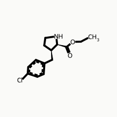 CCOC(=O)[C@@H]1NCC[C@@H]1Cc1ccc(Cl)cc1